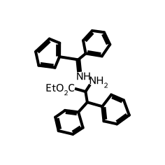 CCOC(=O)C(N)C(c1ccccc1)c1ccccc1.N=C(c1ccccc1)c1ccccc1